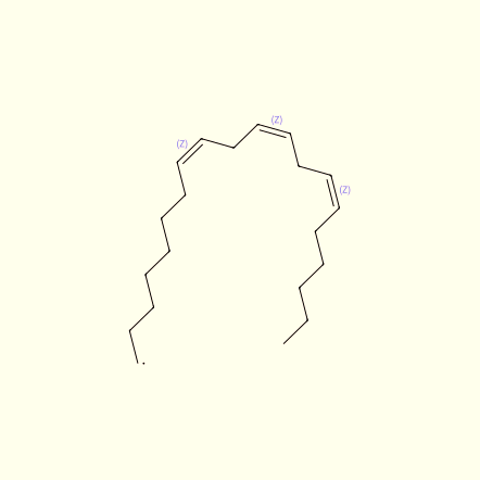 [CH2]CCCCCC/C=C\C/C=C\C/C=C\CCCCC